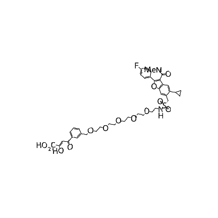 CNC(=O)c1c(-c2ccc(F)cc2)oc2cc(CS(=O)(=O)NCCOCCOCCOCCOCCOCc3cccc(C(=O)/C=C(\O)C(=O)O)c3)c(C3CC3)cc12